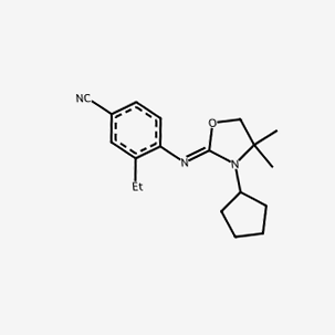 CCc1cc(C#N)ccc1/N=C1\OCC(C)(C)N1C1CCCC1